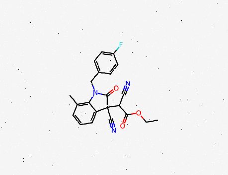 CCOC(=O)C(C#N)C1(C#N)C(=O)N(Cc2ccc(F)cc2)c2c(C)cccc21